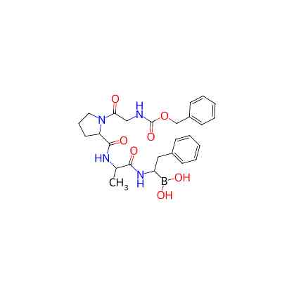 CC(NC(=O)C1CCCN1C(=O)CNC(=O)OCc1ccccc1)C(=O)NC(Cc1ccccc1)B(O)O